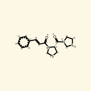 O=C([C@@H]1CSCN1C(=O)C=Cc1ccccc1)N1CCSC1